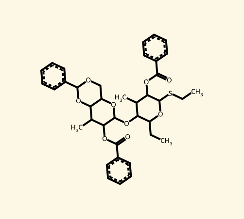 CCSC1OC(CC)C(OC2OC3COC(c4ccccc4)OC3C(C)C2OC(=O)c2ccccc2)C(C)C1OC(=O)c1ccccc1